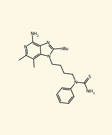 CCCCc1nc2c(N)nc(C)c(C)c2n1CCCCN(C(N)=S)c1ccccc1